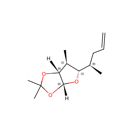 C=CC[C@@H](C)[C@@H]1O[C@@H]2OC(C)(C)O[C@@H]2[C@H]1C